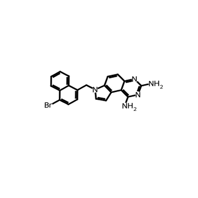 Nc1nc(N)c2c(ccc3c2ccn3Cc2ccc(Br)c3ccccc23)n1